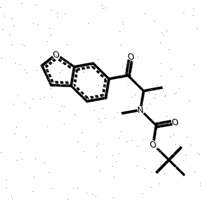 CC(C(=O)c1ccc2ccoc2c1)N(C)C(=O)OC(C)(C)C